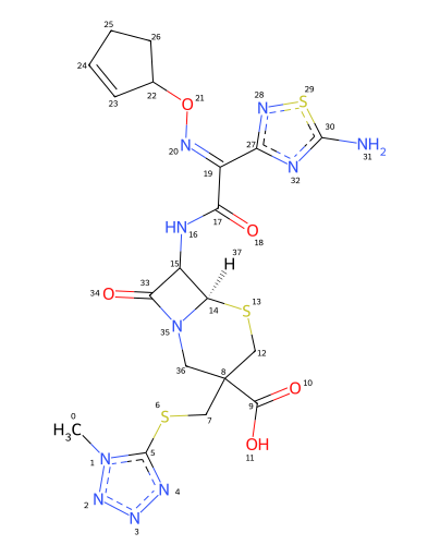 Cn1nnnc1SCC1(C(=O)O)CS[C@@H]2C(NC(=O)C(=NOC3C=CCC3)c3nsc(N)n3)C(=O)N2C1